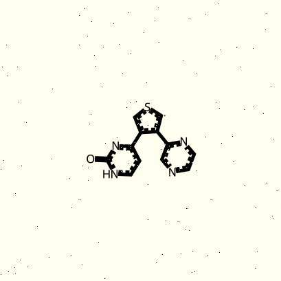 O=c1nc(-c2cs[c]c2-c2cnccn2)cc[nH]1